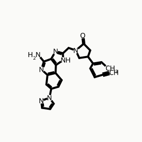 C#C/C=C\C(=C/C)C1CC(=O)N(Cc2nc3c(N)nc4cc(-n5cccn5)ccc4c3[nH]2)C1